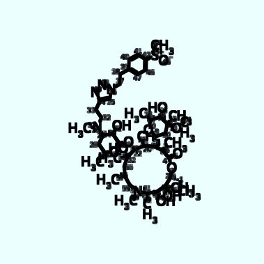 CC[C@H]1OC(=O)[C@H](C)[C@@H](C2C[C@@](C)(OC)[C@@H](O)[C@H](C)O2)[C@H](C)[C@@H](O[C@@H]2O[C@H](C)C[C@H](N(C)CCc3cn(CCc4ccc([S+](C)[O-])cc4)nn3)[C@H]2O)[C@](C)(O)C[C@@H](C)CN(C)[C@H](C)[C@@H](O)[C@]1(C)O